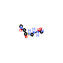 COc1ccc(-c2cccc(C(=O)N3CCCCC3)c2)cc1SNc1cccc(NCCNC(=O)c2cccnc2OC)c1